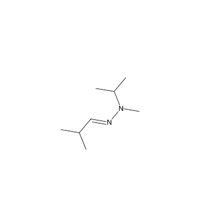 CC(C)/C=N/N(C)C(C)C